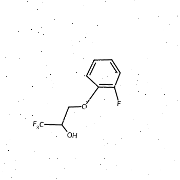 OC(COc1[c]cccc1F)C(F)(F)F